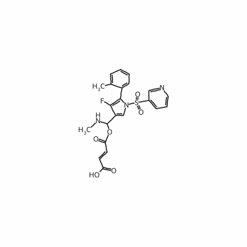 CNC(OC(=O)/C=C/C(=O)O)c1cn(S(=O)(=O)c2cccnc2)c(-c2ccccc2C)c1F